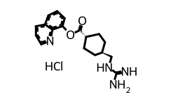 Cl.N=C(N)NC[C@H]1CC[C@H](C(=O)Oc2cccc3cccnc23)CC1